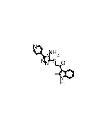 Cc1[nH]c2ccccc2c1C(=O)CSc1nnc(-c2ccncc2)n1N